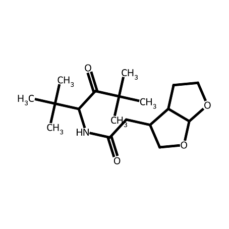 CC(C)(C)C(=O)C(NC(=O)CC1COC2OCCC12)C(C)(C)C